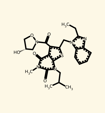 CCc1nc2ccccc2n1Cc1sc2c(c1C(=O)N1C[C@H](O)CO1)c(=O)n(C)c(=O)n2CC(C)C